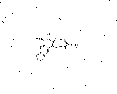 CCOC(=O)c1noc(CC(c2ccc3ccccc3c2)N(C)C(=O)OC(C)(C)C)n1